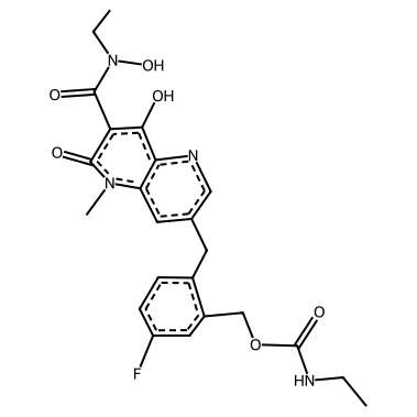 CCNC(=O)OCc1cc(F)ccc1Cc1cnc2c(O)c(C(=O)N(O)CC)c(=O)n(C)c2c1